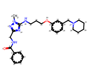 Cn1nc(CNC(=O)c2ccccc2)nc1NCCCOc1cccc(CN2CCCCC2)c1